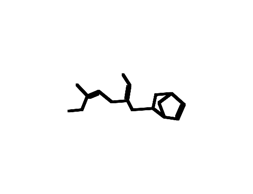 CC=C(CC=C(C)CC)CC1CC2C=CC1C2